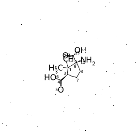 CC1(C)[C@H](C(=O)O)CC[C@@]1(N)C(=O)O